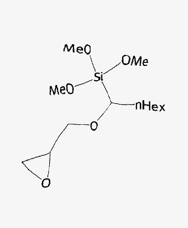 CCCCCCC(OCC1CO1)[Si](OC)(OC)OC